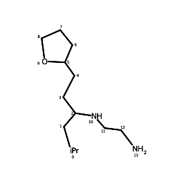 CC(C)CC(CCC1CCCO1)NCCN